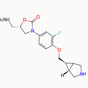 CC(=O)NC[C@H]1CN(c2ccc(OC[C@H]3C4CNC[C@@H]43)c(F)c2)C(=O)O1